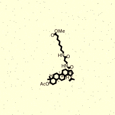 C=C(C)[C@@H]1CC[C@]2(C(=O)NCCC(=O)NCCCCCCCC(=O)OC)CC[C@]3(C)[C@H](CCC4[C@@]5(C)CC[C@H](OC(C)=O)C(C)(C)[C@@H]5CC[C@]43C)[C@@H]12